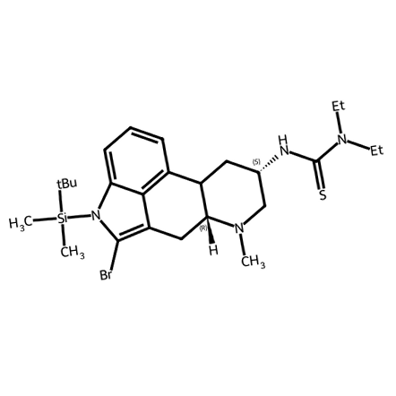 CCN(CC)C(=S)N[C@H]1CC2c3cccc4c3c(c(Br)n4[Si](C)(C)C(C)(C)C)C[C@H]2N(C)C1